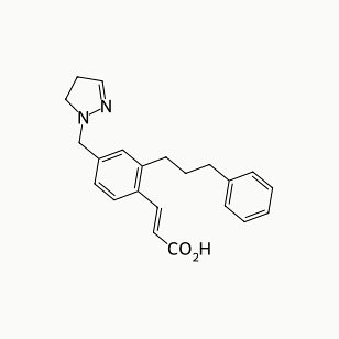 O=C(O)/C=C/c1ccc(CN2CCC=N2)cc1CCCc1ccccc1